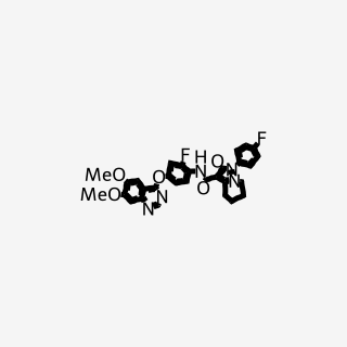 COc1cc2ncnc(Oc3ccc(NC(=O)c4c5n(n(-c6ccc(F)cc6)c4=O)CCCC5)c(F)c3)c2cc1OC